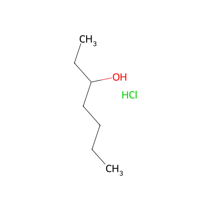 CCCCC(O)CC.Cl